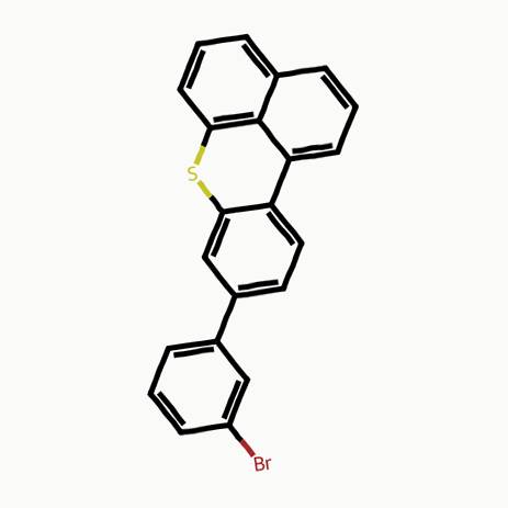 Brc1cccc(-c2ccc3c(c2)Sc2cccc4cccc-3c24)c1